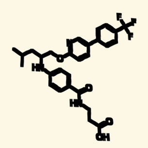 CC(C)CC(COc1ccc(-c2ccc(C(F)(F)F)cc2)cn1)Nc1ccc(C(=O)NCCC(=O)O)cc1